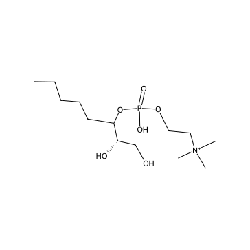 CCCCCC(OP(=O)(O)OCC[N+](C)(C)C)[C@@H](O)CO